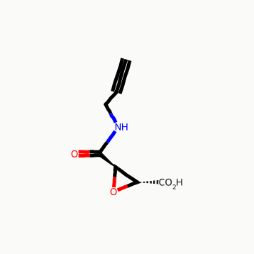 C#CCNC(=O)[C@@H]1O[C@H]1C(=O)O